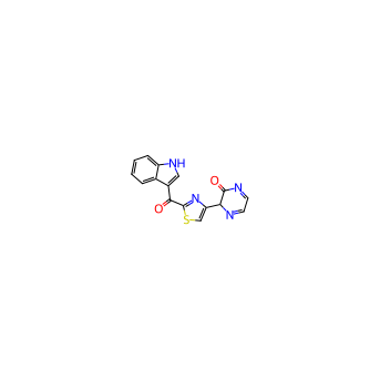 O=C(c1nc(C2N=CC=NC2=O)cs1)c1c[nH]c2ccccc12